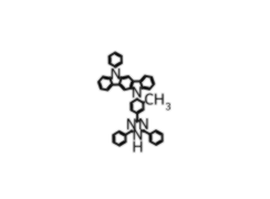 CC1C=C(C2=NC(c3ccccc3)NC(c3ccccc3)=N2)C=CC1n1c2ccccc2c2cc3c(cc21)c1ccccc1n3-c1ccccc1